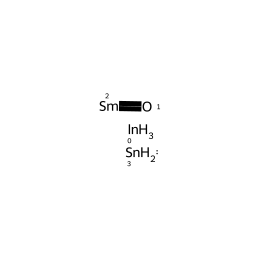 [InH3].[O]=[Sm].[SnH2]